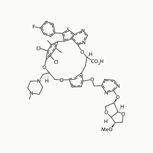 CO[C@@H]1CO[C@H]2[C@@H]1OC[C@H]2Oc1nccc(COc2ccc3cc2C[C@H](C(=O)O)Oc2ncnc4sc(-c5ccc(F)cc5)c(c24)-c2c(C)c(Cl)c(c(Cl)c2C)O[C@H](CN2CCN(C)CC2)CO3)n1